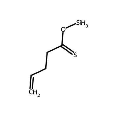 C=CCCC(=S)O[SiH3]